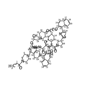 C=CC(=O)N1CCN(c2nc(OC(C)CN3CCC(OCCOc4ccc5ccccc5c4-c4csc(C5CCN(C(=O)[C@@H](NC(=O)C(C)NC)C6CCCCC6)C5)n4)CC3)nc3c2CCN(c2cc(O)cc4ccccc24)C3)CC1